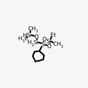 CC[Si]1(C)O[Si]([SiH2]O[SiH](C)C)(C2CCCCC2)O1